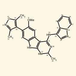 COc1cc2c3c([nH]c2cc1-c1c(C)noc1C)NC(C)N=C3Nc1cnn2ccccc12